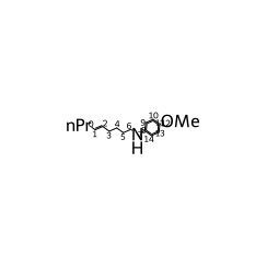 CCCC=CCCCCNc1ccc(OC)cc1